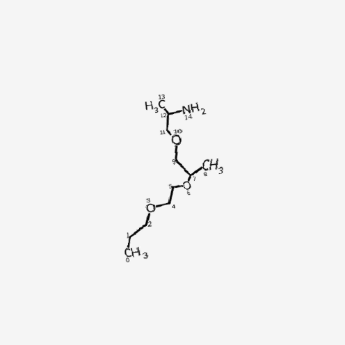 CCCOCCOC(C)COCC(C)N